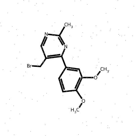 COc1ccc(-c2nc(C)ncc2CBr)cc1OC